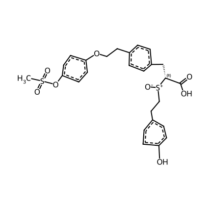 CS(=O)(=O)Oc1ccc(OCCc2ccc(C[C@H](C(=O)O)[S+]([O-])CCc3ccc(O)cc3)cc2)cc1